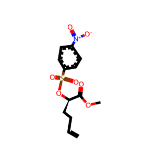 C=CCC[C@@H](OS(=O)(=O)c1ccc([N+](=O)[O-])cc1)C(=O)OC